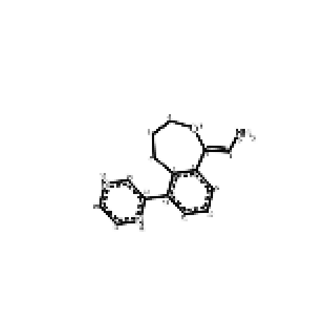 N/C=C1\OCCCc2c1cccc2-c1cnccn1